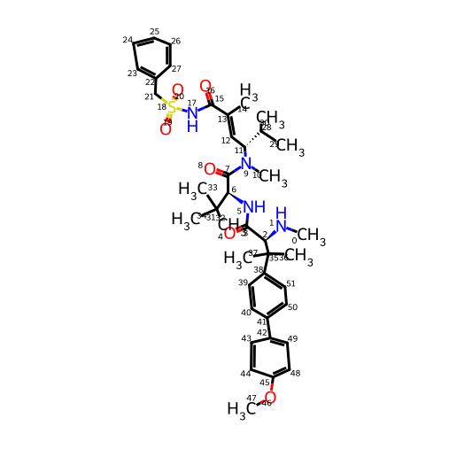 CN[C@H](C(=O)N[C@H](C(=O)N(C)[C@H](C=C(C)C(=O)NS(=O)(=O)Cc1ccccc1)C(C)C)C(C)(C)C)C(C)(C)c1ccc(-c2ccc(OC)cc2)cc1